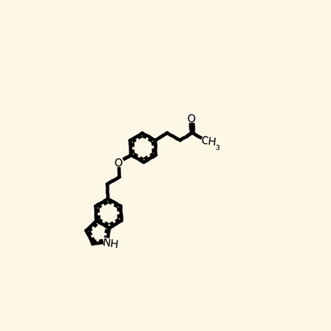 CC(=O)CCc1ccc(OCCc2ccc3[nH]ccc3c2)cc1